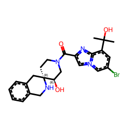 CC(C)(O)c1cc(Br)cn2cc(C(=O)N3CC[C@]4(Cc5ccccc5CN4)[C@H](O)C3)nc12